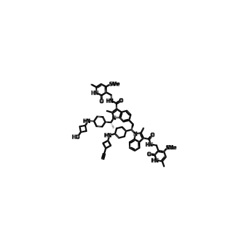 C#CC1CC(NC2CCC([C@@H](Cc3ccc4c(C(=O)NCc5c(SC)cc(C)[nH]c5=O)c(C)n([C@H](C)C5CCC(NC6CC(O)C6)CC5)c4c3)n3c(C)c(C(=O)NCc4c(SC)cc(C)[nH]c4=O)c4ccccc43)CC2)C1